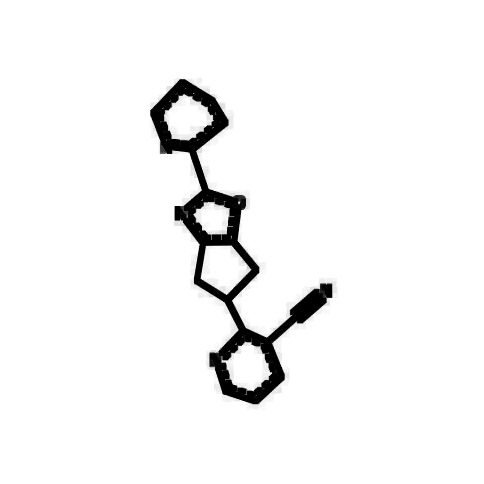 N#Cc1cccnc1C1Cc2nc(-c3ccccn3)oc2C1